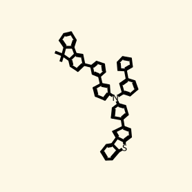 CC1(C)c2ccccc2-c2cc(-c3cccc(-c4cccc(N(c5ccc(-c6ccc7sc8ccccc8c7c6)cc5)c5cccc(-c6ccccc6)c5)c4)c3)ccc21